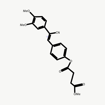 COC(=O)CCC(=O)Oc1ccc(/C=C(\C#N)c2ccc(OC)c(OC)c2)cc1